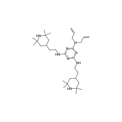 C=CCN(CC=C)c1nc(NCCC2CC(C)(C)NC(C)(C)C2)nc(NCCC2CC(C)(C)NC(C)(C)C2)n1